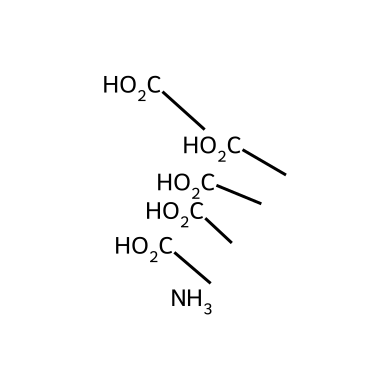 CC(=O)O.CC(=O)O.CC(=O)O.CC(=O)O.CC(=O)O.N